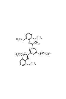 CCc1cccc(CC)c1N=C(C)c1cc(Cl)cc(C(C)=Nc2c(CC)cccc2CC)n1.[Cl-].[Cl-].[Co+2]